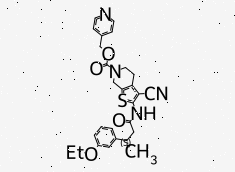 CCOc1cccc([C@@H](C)CC(=O)Nc2sc3c(c2C#N)CCN(C(=O)OCc2ccncc2)C3)c1